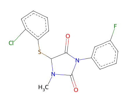 CN1C(=O)N(c2cccc(F)c2)C(=O)C1Sc1ccccc1Cl